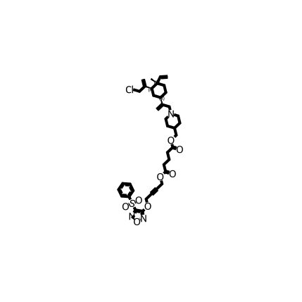 C=C[C@]1(C)CC[C@@H](C(=C)CN2CCC(COC(=O)CCCC(=O)OCC#CCOc3nonc3S(=O)(=O)c3ccccc3)CC2)C[C@H]1C(=C)CCl